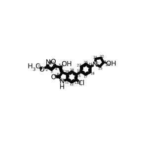 COc1cc(C(O)=C2C(=O)Nc3cc(Cl)c(-c4ccc(N5CC[C@@H](O)C5)cc4)cc32)on1